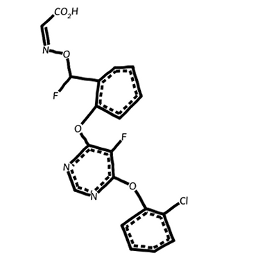 O=C(O)/C=N\OC(F)c1ccccc1Oc1ncnc(Oc2ccccc2Cl)c1F